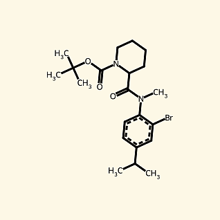 CC(C)c1ccc(N(C)C(=O)C2CCCCN2C(=O)OC(C)(C)C)c(Br)c1